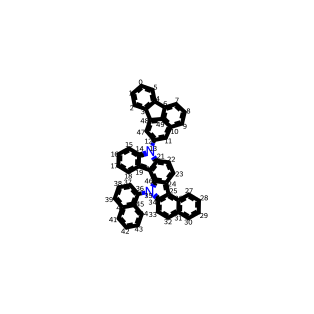 c1ccc2c(c1)-c1cccc3cc(-n4c5ccccc5c5c4ccc4c6c7ccccc7ccc6n(-c6cccc7ccccc67)c45)cc-2c13